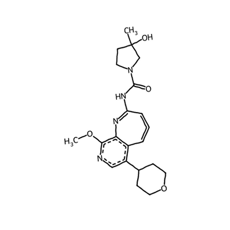 COc1ncc(C2CCOCC2)c2c1N=C(NC(=O)N1CCC(C)(O)C1)C=C=C2